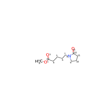 COC(=O)CCCCN1CCCC1=O